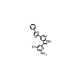 CCc1cc(-c2c[nH]c3ncc(-c4ncc(-c5ccccc5)o4)cc23)nc(N)n1